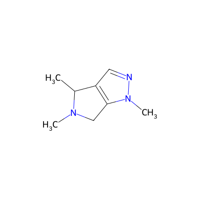 CC1c2cnn(C)c2CN1C